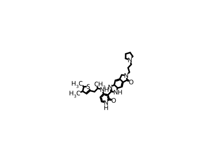 CC(CC1=CC(C)C(C)S1)Nc1cc[nH]c(=O)c1C1=NC2C=C3CN(CCCN4CCCC4)C(=O)C3=CC2N1